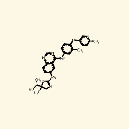 Cc1ccc(Oc2ccc(Nc3ncnc4ccc(NC5=NCC(C)([C@@H](C)O)O5)cc34)cc2C)cn1